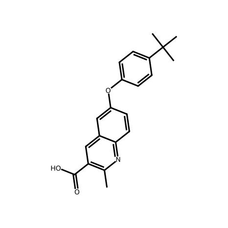 Cc1nc2ccc(Oc3ccc(C(C)(C)C)cc3)cc2cc1C(=O)O